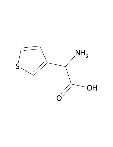 NC(C(=O)O)c1ccsc1